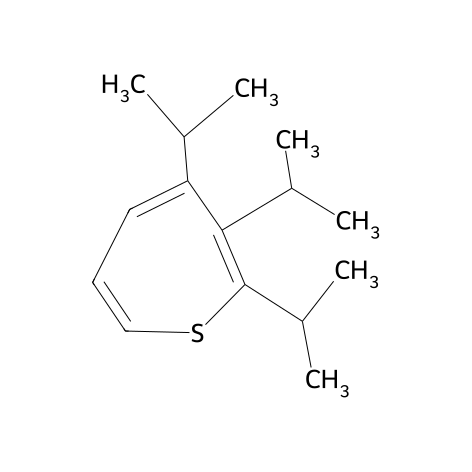 CC(C)C1=CC=CSC(C(C)C)=C1C(C)C